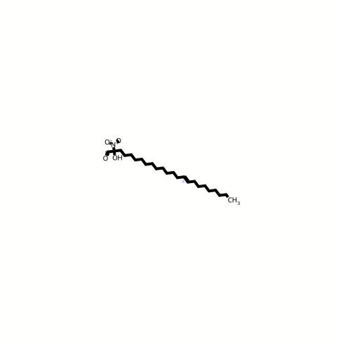 CCCCCCCC/C=C/CCCCCCCCCCCCC(O)([C]=O)[N+](=O)[O-]